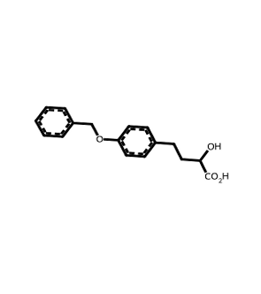 O=C(O)C(O)CCc1ccc(OCc2ccccc2)cc1